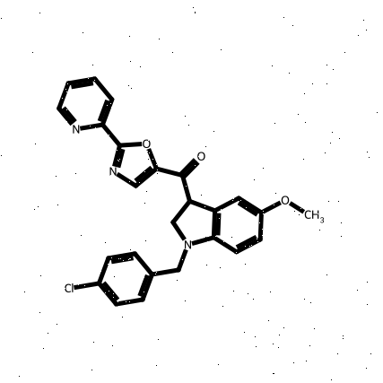 COc1ccc2c(c1)C(C(=O)c1cnc(-c3ccccn3)o1)CN2Cc1ccc(Cl)cc1